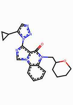 O=c1c2c(-n3nncc3C3CC3)ncn2c2ccccc2n1CC1CCCCO1